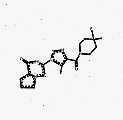 Cc1c(C(=O)N2CCC(F)(F)CC2)nnn1-c1nn2cccc2c(=O)[nH]1